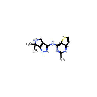 Cc1nc(Nc2n[nH]c3c2CNC3(C)C)c2sccc2n1